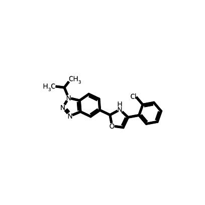 CC(C)n1nnc2cc(C3NC(c4ccccc4Cl)=CO3)ccc21